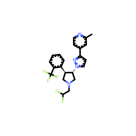 Cc1cc(-c2ccn([C@@H]3CN(CC(F)F)C[C@H]3c3ccccc3C(F)(F)F)n2)ccn1